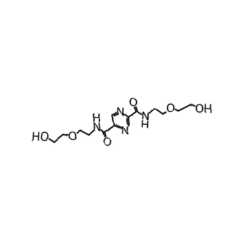 O=C(NCCOCCO)c1cnc(C(=O)NCCOCCO)cn1